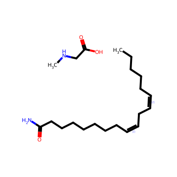 CCCCC/C=C\C/C=C\CCCCCCCC(N)=O.CNCC(=O)O